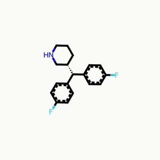 Fc1ccc(C(c2ccc(F)cc2)[C@H]2CCCNC2)cc1